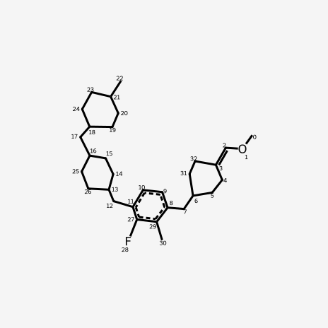 COC=C1CCC(Cc2ccc(CC3CCC(CC4CCC(C)CC4)CC3)c(F)c2C)CC1